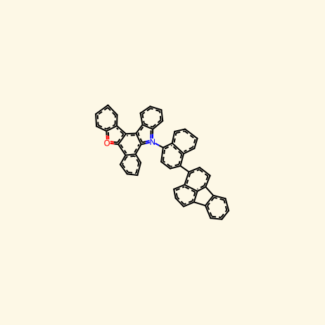 c1ccc2c(c1)-c1cccc3c(-c4ccc(-n5c6ccccc6c6c7c8ccccc8oc7c7ccccc7c65)c5ccccc45)ccc-2c13